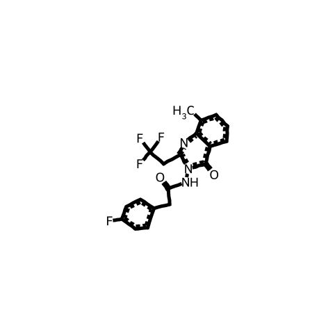 Cc1cccc2c(=O)n(NC(=O)Cc3ccc(F)cc3)c(CC(F)(F)F)nc12